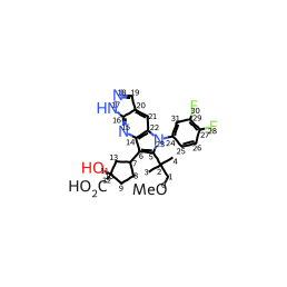 COCC(C)(C)c1c(C2CC[C@@](O)(C(=O)O)C2)c2nc3[nH]ncc3cc2n1-c1ccc(F)c(F)c1